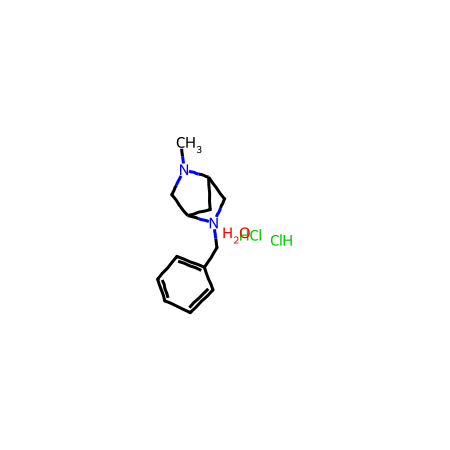 CN1CC2CC1CN2Cc1ccccc1.Cl.Cl.O